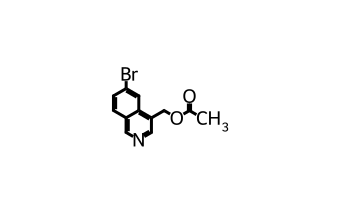 CC(=O)OCc1cncc2ccc(Br)cc12